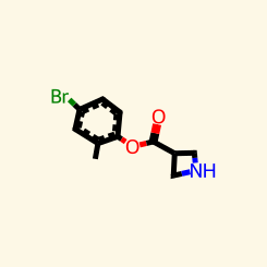 Cc1cc(Br)ccc1OC(=O)C1CNC1